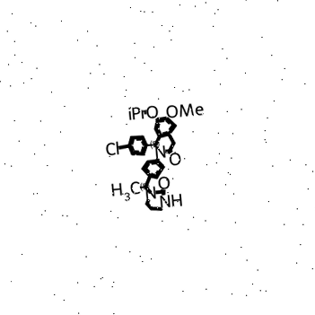 COc1cc2c(cc1OC(C)C)[C@H](c1ccc(Cl)cc1)N(c1ccc([C@H](C)N3CCCNC3=O)cc1)C(=O)C2